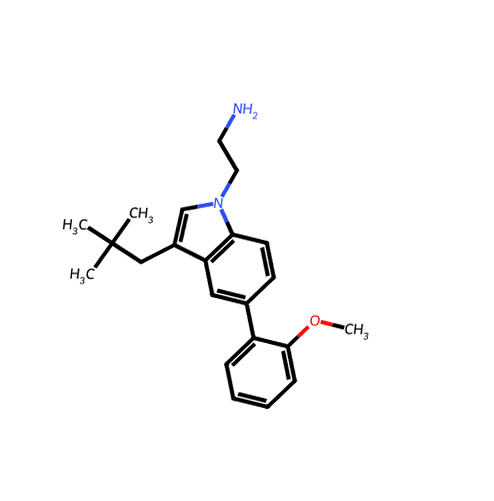 COc1ccccc1-c1ccc2c(c1)c(CC(C)(C)C)cn2CCN